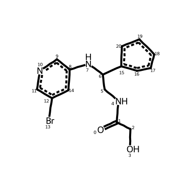 O=C(CO)NCC(Nc1cncc(Br)c1)c1ccccc1